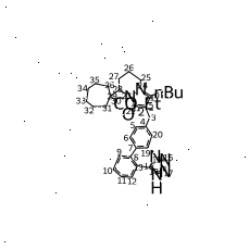 CCCCc1c(Cc2ccc(-c3ccccc3-c3nnn[nH]3)cc2)c(=O)n2n1CCCC2C1(C(=O)OCC)CCCCCC1